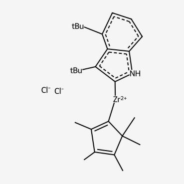 CC1=C(C)C(C)(C)[C]([Zr+2][c]2[nH]c3cccc(C(C)(C)C)c3c2C(C)(C)C)=C1C.[Cl-].[Cl-]